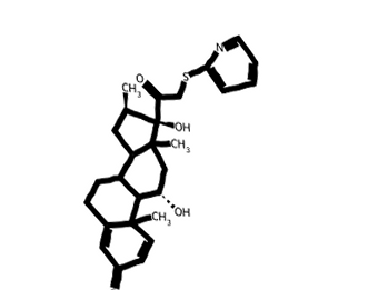 C[C@@H]1CC2C3CCC4=CC(=O)C=CC4(C)C3[C@@H](O)CC2(C)[C@@]1(O)C(=O)CSc1ccccn1